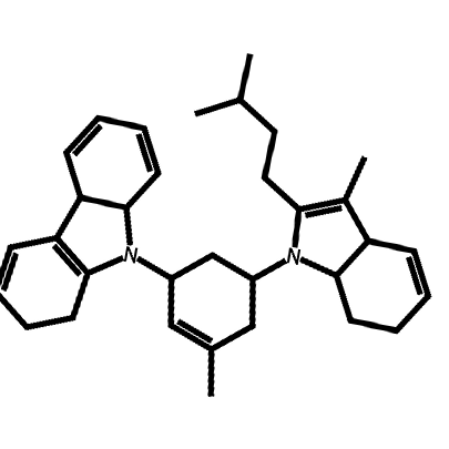 CC1=CC(N2C3=C(C=CCC3)C3C=CC=CC32)CC(N2C(CCC(C)C)=C(C)C3C=CCCC32)C1